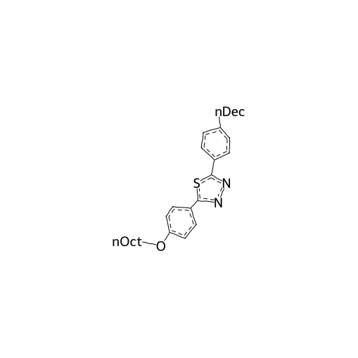 CCCCCCCCCCc1ccc(-c2nnc(-c3ccc(OCCCCCCCC)cc3)s2)cc1